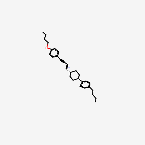 CCCCOc1ccc(C#C/C=C/[C@H]2CC[C@H](c3ccc(CCCC)cc3)CC2)cc1